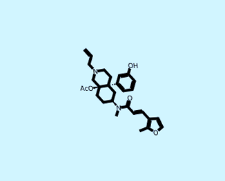 C=CCN1CC[C@@]2(c3cccc(O)c3)C[C@@H](N(C)C(=O)/C=C/c3ccoc3C)CC[C@]2(OC(C)=O)C1